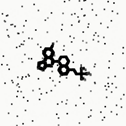 CC(C)(CCc1cncc2c1CCCN2c1nc2nncn2c2ccc(F)cc12)C(F)(F)F